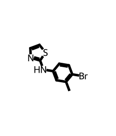 Cc1cc(Nc2nccs2)ccc1Br